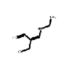 CCN/C=C(\C=N)CCl